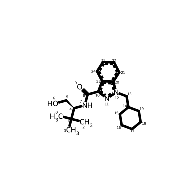 CC(C)(C)[C@@H](CO)NC(=O)c1nn(CC2CCCCC2)c2ccccc12